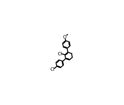 COc1ccc(C2=C(Cl)C(c3ccc(Cl)cc3)=CC[CH]2)cc1